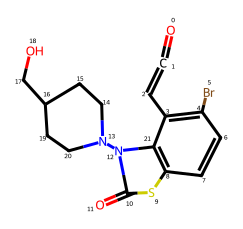 O=C=Cc1c(Br)ccc2sc(=O)n(N3CCC(CO)CC3)c12